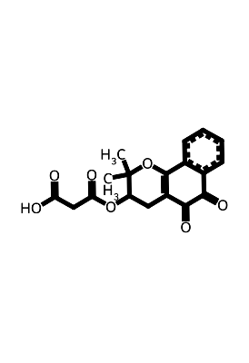 CC1(C)OC2=C(CC1OC(=O)CC(=O)O)C(=O)C(=O)c1ccccc12